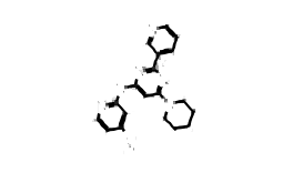 FC(F)(F)Oc1ccnc(Nc2cc(N3CCCCC3)nc(-c3cccnc3)n2)c1